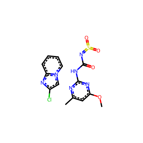 COc1cc(C)nc(NC(=O)N=S(=O)=O)n1.Clc1cn2ccccc2n1